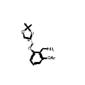 CC(=O)Oc1cccc(OC[C@@H]2COC(C)(C)O2)c1CN